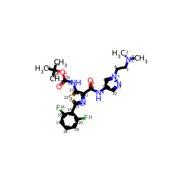 CN(C)CCn1cc(NC(=O)c2nc(-c3c(F)cccc3F)sc2NC(=O)OC(C)(C)C)cn1